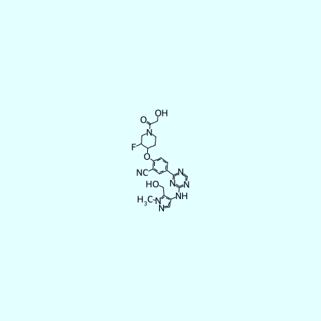 Cn1ncc(Nc2ncnc(-c3ccc(OC4CCN(C(=O)CO)CC4F)c(C#N)c3)n2)c1CO